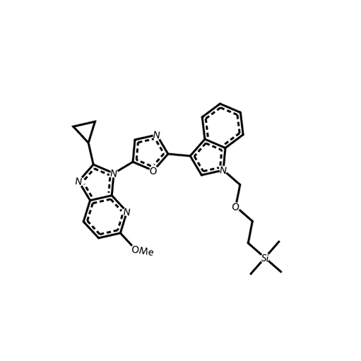 COc1ccc2nc(C3CC3)n(-c3cnc(-c4cn(COCC[Si](C)(C)C)c5ccccc45)o3)c2n1